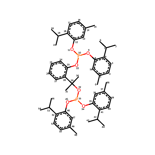 Cc1ccc(C(C)C)c(OP(Oc2cc(C)ccc2C(C)C)Oc2ccccc2C(C)(C)OP(Oc2cc(C)ccc2C(C)C)Oc2cc(C)ccc2C(C)C)c1